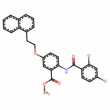 COC(=O)c1cc(OCCc2cccc3ccccc23)ccc1NC(=O)c1ccc(Cl)cc1Cl